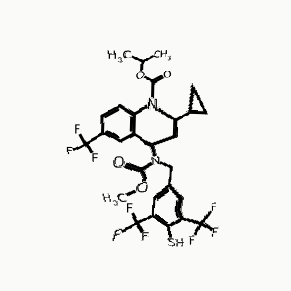 COC(=O)N(Cc1cc(C(F)(F)F)c(S)c(C(F)(F)F)c1)C1CC(C2CC2)N(C(=O)OC(C)C)c2ccc(C(F)(F)F)cc21